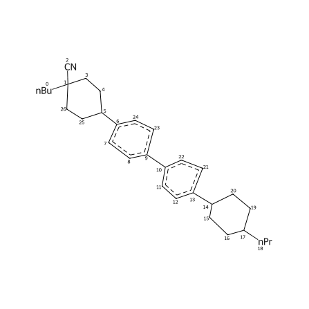 CCCCC1(C#N)CCC(c2ccc(-c3ccc(C4CCC(CCC)CC4)cc3)cc2)CC1